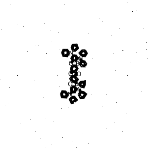 O=c1c2cc3c(cc2oc2cc4c(cc12)B1c2ccccc2N(c2ccccc2)c2cc(N(c5ccccc5)c5ccccc5)cc(c21)O4)Oc1cc(N(c2ccccc2)c2ccccc2)cc2c1B3c1ccccc1N2c1ccccc1